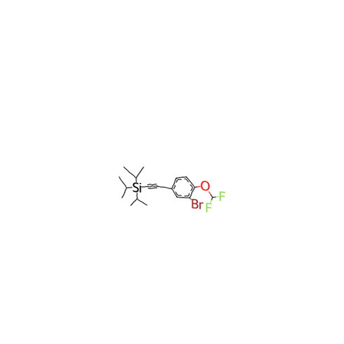 CC(C)[Si](C#Cc1ccc(OC(F)F)c(Br)c1)(C(C)C)C(C)C